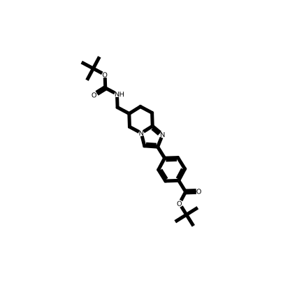 CC(C)(C)OC(=O)NCC1CCc2nc(-c3ccc(C(=O)OC(C)(C)C)cc3)cn2C1